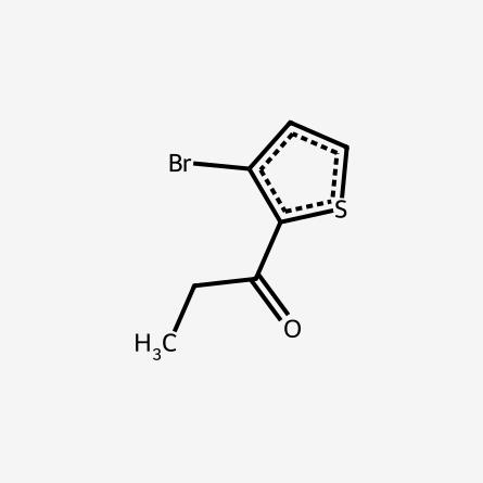 CCC(=O)c1sccc1Br